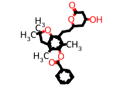 Cc1c(CCC2CC(O)CC(=O)O2)c2c(c(C)c1OC(=O)c1ccccc1)CC(C)(C)O2